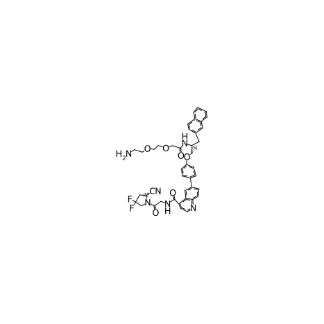 N#C[C@@H]1CC(F)(F)CN1C(=O)CNC(=O)c1ccnc2ccc(-c3ccc(OC[C@H](Cc4ccc5ccccc5c4)NC(=O)COCCOCCN)cc3)cc12